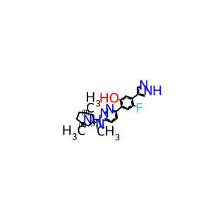 CN(c1ccc(-c2cc(F)c(-c3cn[nH]c3)cc2O)nn1)[C@H]1C[C@]2(C)CC[C@](C)(C1)N2